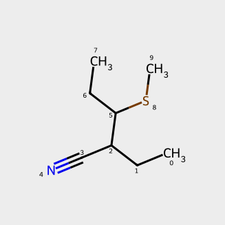 CCC(C#N)C(CC)SC